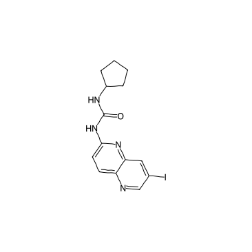 O=C(Nc1ccc2ncc(I)cc2n1)NC1CCCC1